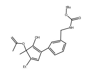 C=C(C)OC1(C)C(CC)=CC(c2cccc(CNC(=O)OC(C)(C)C)c2)=C1O